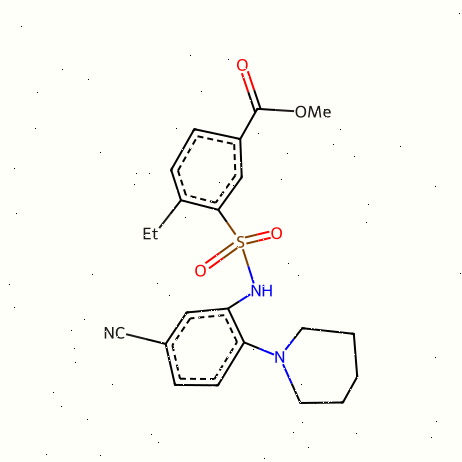 CCc1ccc(C(=O)OC)cc1S(=O)(=O)Nc1cc(C#N)ccc1N1CCCCC1